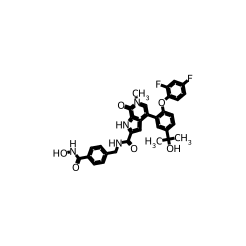 Cn1cc(-c2cc(C(C)(C)O)ccc2Oc2ccc(F)cc2F)c2cc(C(=O)NCc3ccc(C(=O)NO)cc3)[nH]c2c1=O